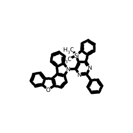 C[Si]1(C)c2ccccc2-c2nc(-c3ccccc3)nc(-n3c4ccccc4c4c5c(ccc43)oc3ccccc35)c21